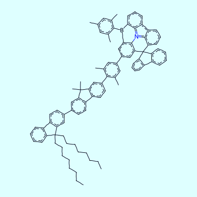 CCCCCCCCC1(CCCCCCCC)c2ccccc2-c2ccc(-c3ccc4c(c3)C(C)(C)c3cc(-c5c(C)cc(-c6cc7c8c(c6)C6(c9ccccc9-c9ccccc96)c6cccc9c%10cccc(c%10n-8c69)B7c6c(C)cc(C)cc6C)cc5C)ccc3-4)cc21